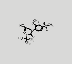 COc1cc(S(C)(=O)=O)ccc1N(CC(=O)O)C(=O)OC(C)(C)C